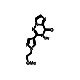 COCCn1cc(-c2nn3ccnc3c(=O)n2C(C)C)cn1